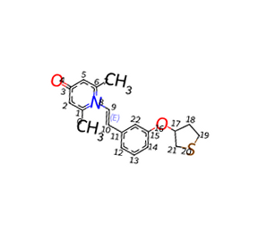 Cc1cc(=O)cc(C)n1/C=C/c1cccc(OC2CCSC2)c1